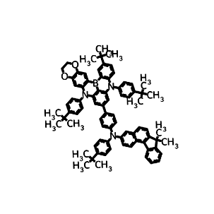 CC(C)(C)c1ccc(N(c2ccc(-c3cc4c5c(c3)N(c3ccc(C(C)(C)C)cc3)c3cc6c(cc3B5c3cc(C(C)(C)C)ccc3N4c3ccc(C(C)(C)C)cc3)OCCO6)cc2)c2ccc3c4c(ccc3c2)C(C)(C)c2ccccc2-4)cc1